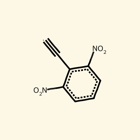 [C]#Cc1c([N+](=O)[O-])cccc1[N+](=O)[O-]